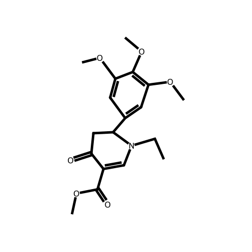 CCN1C=C(C(=O)OC)C(=O)CC1c1cc(OC)c(OC)c(OC)c1